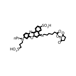 CCCN(CCCS(=O)(=O)O)c1ccc2nc3c4ccc(S(=O)(=O)O)cc4/c(=N\CCCCCC(=O)ON4C(=O)CCC4=O)cc-3oc2c1